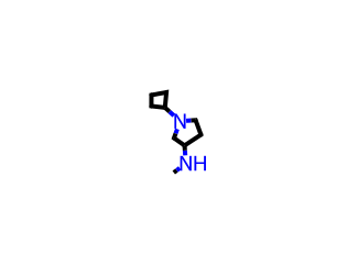 CNC1CCN(C2CCC2)C1